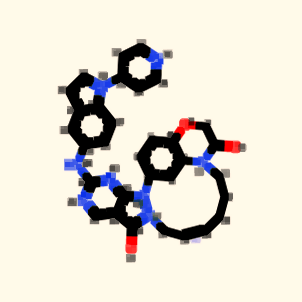 O=C1COc2ccc3cc2N1CCC/C=C\Cn1c(=O)c2cnc(Nc4ccc5c(ccn5-c5ccncc5)c4)nc2n1-3